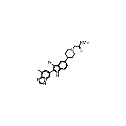 CCc1c(-c2cc(C)c3ncnn3c2)[nH]c2ccc(C3CCN(CC(=O)NC)CC3)cc12